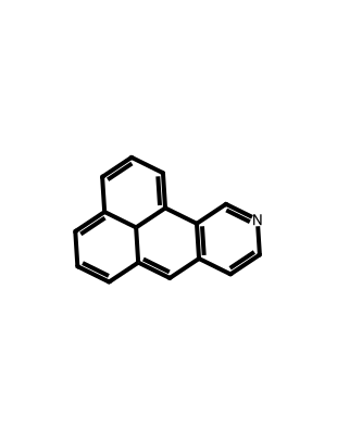 C1=CC2=CC=CC3=Cc4ccncc4C(=C1)C23